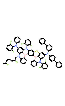 C=C(F)/C=C\C=C(\F)CN1c2ccccc2B2c3cc4c(cc3N(c3c(F)cccc3F)c3cc(N(c5ccccc5)c5c(F)cccc5F)cc1c32)Sc1cc(N(c2ccc(-c3ccccc3)cc2)c2cccc(-c3ccccc3)c2)cc2c1B4c1ccccc1N2c1c(F)cccc1F